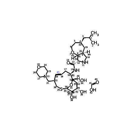 CC(C)C[C@@H]1CCO[C@@H]2[C@H](CN[C@@H]2C(=O)N[C@@H]2C/C=C/C(CN3CCOCC3)CS[C@H]3O[C@H]2[C@H](O)[C@H](O)[C@H]3O)C1.O=CO